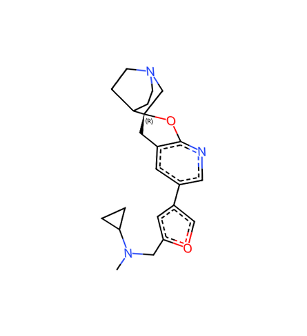 CN(Cc1cc(-c2cnc3c(c2)C[C@@]2(CN4CCC2CC4)O3)co1)C1CC1